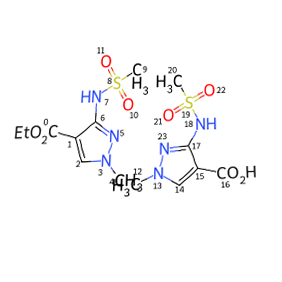 CCOC(=O)c1cn(C)nc1NS(C)(=O)=O.Cn1cc(C(=O)O)c(NS(C)(=O)=O)n1